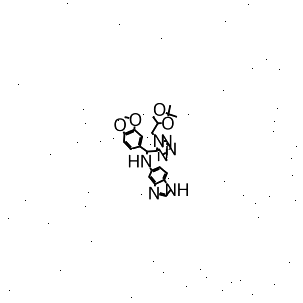 CC1(C)OCC(Cn2nnnc2C(Nc2ccc3[nH]cnc3c2)c2ccc3c(c2)OCO3)O1